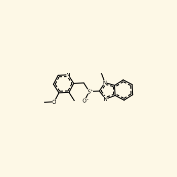 COc1ccnc(C[S+]([O-])c2nc3ccccc3n2C)c1C